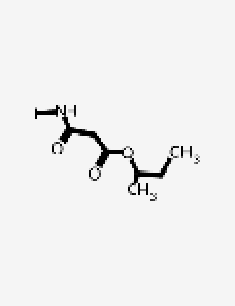 CCC(C)OC(=O)CC(=O)NI